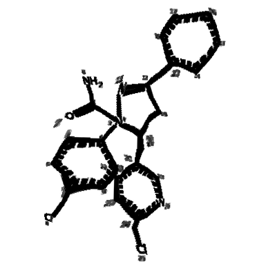 NC(=O)[N+]1(c2ccc(Cl)cc2)N=C(c2ccccc2)CC1c1ccc(Cl)nc1